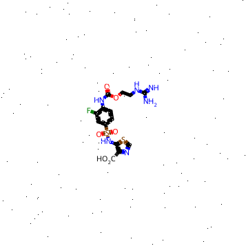 N=C(N)NCCOC(=O)Nc1ccc(S(=O)(=O)Nc2scnc2C(=O)O)cc1F